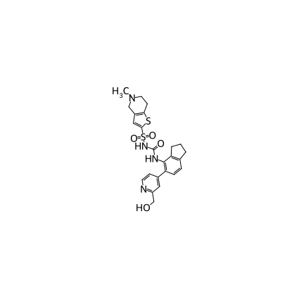 CN1CCc2sc(S(=O)(=O)NC(=O)Nc3c(-c4ccnc(CO)c4)ccc4c3CCC4)cc2C1